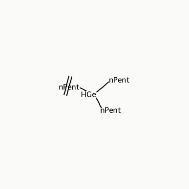 C=C.CCCC[CH2][GeH]([CH2]CCCC)[CH2]CCCC